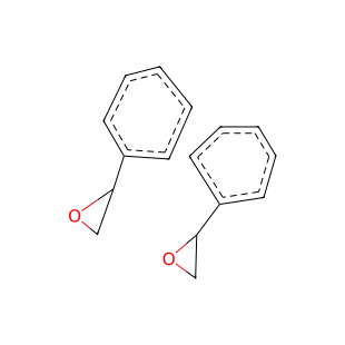 c1ccc(C2CO2)cc1.c1ccc(C2CO2)cc1